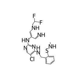 CNSc1ccccc1CNc1nc(N/C(C=N)=C/NCC(F)F)ncc1Cl